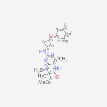 COCC1(C)C(=O)Nc2c(C)nc(N[C@H]3C[C@H](Oc4cc(F)c(F)c(F)c4)C3)nc2N1C